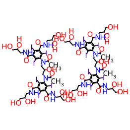 CC(=O)N(CC(O)CN(C(C)=O)c1c(I)c(C(=O)NCC(O)CO)c(I)c(C(=O)NCC(O)CO)c1I)c1c(I)c(C(=O)NCC(O)CO)c(I)c(C(=O)NCC(O)CO)c1I.CC(=O)N(CC(O)CN(C(C)=O)c1c(I)c(C(=O)NCC(O)CO)c(I)c(C(=O)NCC(O)CO)c1I)c1c(I)c(C(=O)NCC(O)CO)c(I)c(C(=O)NCC(O)CO)c1I